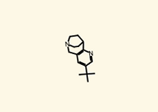 CC(C)(C)c1cnc2c(c1)CN1CCC2CC1